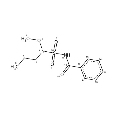 CCCN(OC)S(=O)(=O)NC(=O)c1ccccc1